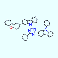 c1ccc(-c2nc(-c3ccc4c5ccccc5n(-c5ccccc5)c4c3)nc(-n3c4ccccc4c4ccc(-c5ccc6oc7ccccc7c6c5)cc43)n2)cc1